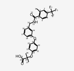 Cc1cc(C(F)(F)F)ccc1C(=O)NCc1cccc(Oc2ccc(OC(C)(C)C(=O)O)cc2)c1